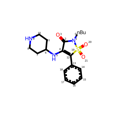 CCCCN1C(=O)C(NC2CCNCC2)=C(c2ccccc2)S1(=O)=O